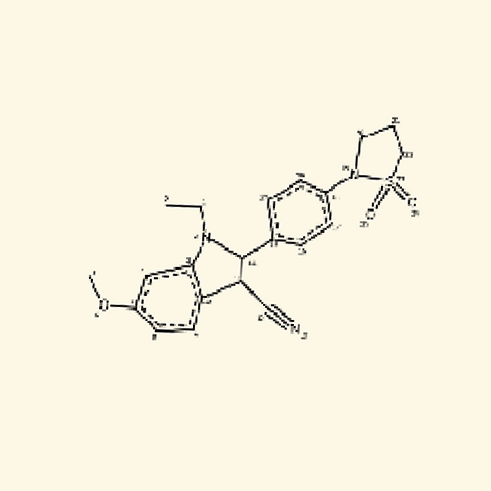 CCN1c2cc(OC)ccc2C(C#N)C1c1ccc(N2CCCS2(=O)=O)cc1